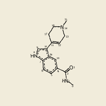 CNC(=O)c1ccc2[nH]cc(C3=CCN(C)CC3)c2c1